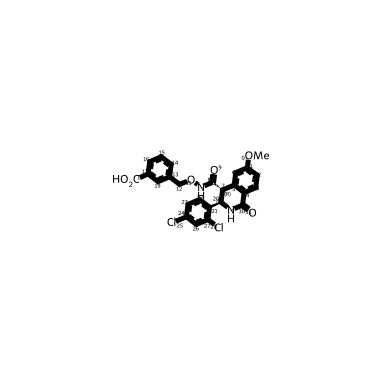 COc1ccc2c(c1)[C@@H](C(=O)NOCc1cccc(C(=O)O)c1)[C@H](c1ccc(Cl)cc1Cl)NC2=O